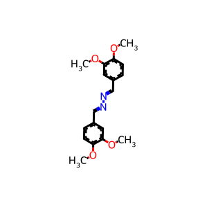 COc1ccc(C=NN=Cc2ccc(OC)c(OC)c2)cc1OC